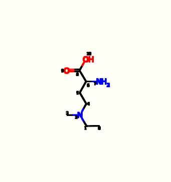 CCN(C)CCC(N)C(=O)O